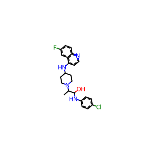 CC(C(O)Nc1ccc(Cl)cc1)N1CCC(Nc2ccnc3ccc(F)cc23)CC1